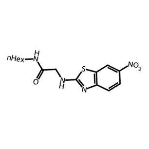 CCCCCCNC(=O)CNc1nc2ccc([N+](=O)[O-])cc2s1